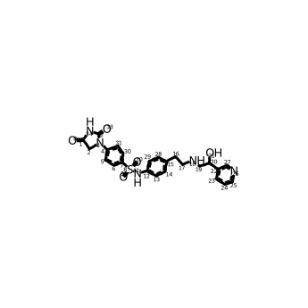 O=C1CN(c2ccc(S(=O)(=O)Nc3ccc(CCNCC(O)c4cccnc4)cc3)cc2)C(=O)N1